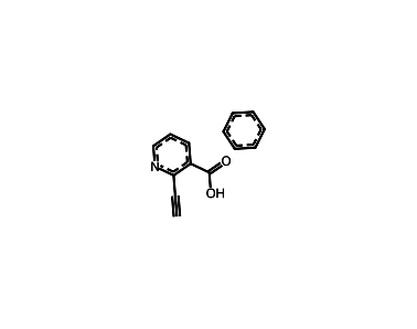 C#Cc1ncccc1C(=O)O.c1ccccc1